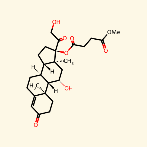 COC(=O)CCC(=O)O[C@]1(C(=O)CO)CC[C@H]2[C@@H]3CCC4=CC(=O)CC[C@]4(C)[C@H]3[C@@H](O)C[C@@]21C